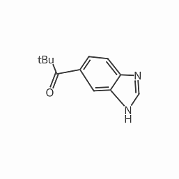 CC(C)(C)C(=O)c1ccc2nc[nH]c2c1